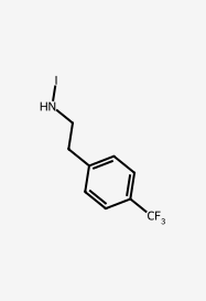 FC(F)(F)c1ccc(CCNI)cc1